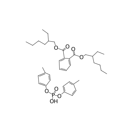 CCCCC(CC)COC(=O)c1ccccc1C(=O)OCC(CC)CCCC.Cc1ccc(OP(=O)(O)Oc2ccc(C)cc2)cc1